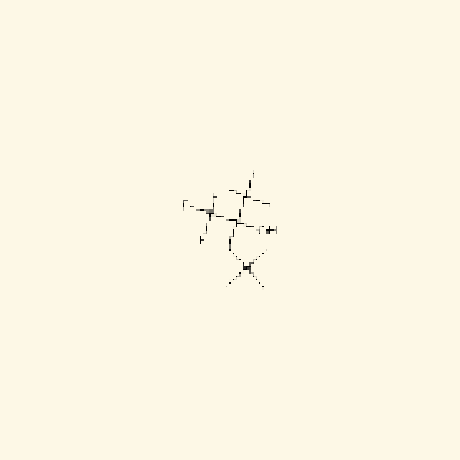 CC(C)(C)CC(O)(C(C)(C)C)C(F)(F)F